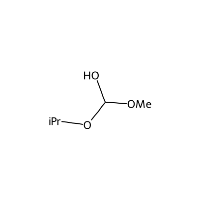 COC(O)OC(C)C